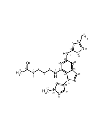 CC(=O)NCCCNc1nc(Nc2cc(C)ns2)nc2ccn(-c3cnn(C)c3)c12